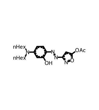 CCCCCCN(CCCCCC)c1ccc(N=Nc2cc(OC(C)=O)on2)c(O)c1